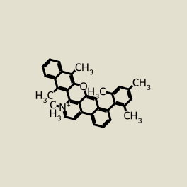 Cc1cc(C)c(-c2cccc3c2cc2c4c([n+](C)ccc43)-c3c(c(C)c4ccccc4c3C)O2)c(C)c1